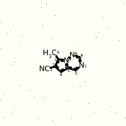 Cc1c(C#N)cc2cncnn12